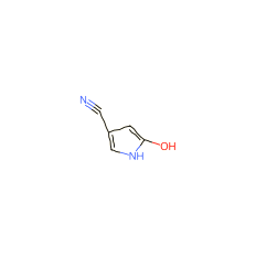 N#Cc1c[nH]c(O)c1